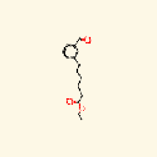 CCOC(=O)CCCCCc1cccc(C=O)c1